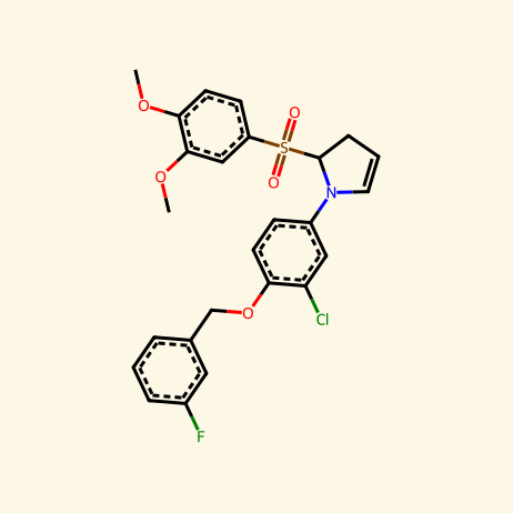 COc1ccc(S(=O)(=O)C2CC=CN2c2ccc(OCc3cccc(F)c3)c(Cl)c2)cc1OC